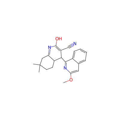 COc1cc2ccccc2c(C2C(C#N)=C(O)N=C3CC(C)(C)CCC32)n1